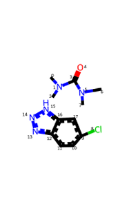 CN(C)C(=O)N(C)C.Clc1ccc2nn[nH]c2c1